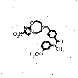 CN(C(=O)c1ccc(CN2CCOc3nc([N+](=O)[O-])cn3CC2)cc1)c1cccc(OC(F)(F)F)c1